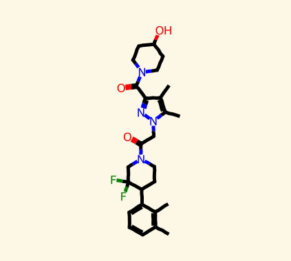 Cc1cccc(C2CCN(C(=O)Cn3nc(C(=O)N4CCC(O)CC4)c(C)c3C)CC2(F)F)c1C